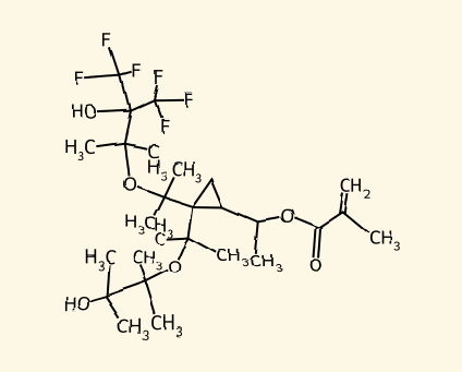 C=C(C)C(=O)OC(C)C1CC1(C(C)(C)OC(C)(C)C(C)(C)O)C(C)(C)OC(C)(C)C(O)(C(F)(F)F)C(F)(F)F